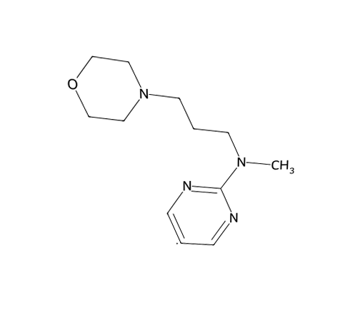 CN(CCCN1CCOCC1)c1nc[c]cn1